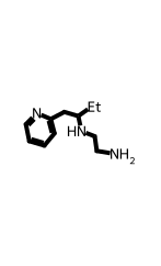 CCC(Cc1ccccn1)NCCN